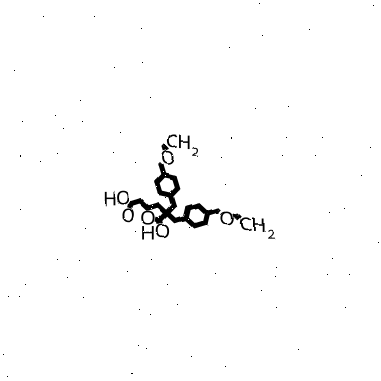 C=COCC1CCC(CC(CCCC(=O)O)(CC2CCC(COC=C)CC2)C(=O)O)CC1